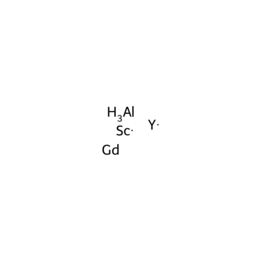 [AlH3].[Gd].[Sc].[Y]